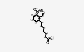 O=Cc1c(CCCCCCC(=O)Cl)cccc1[N+](=O)[O-]